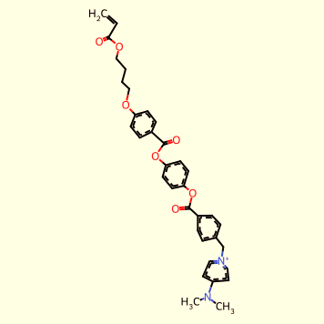 C=CC(=O)OCCCCOc1ccc(C(=O)Oc2ccc(OC(=O)c3ccc(C[n+]4ccc(N(C)C)cc4)cc3)cc2)cc1